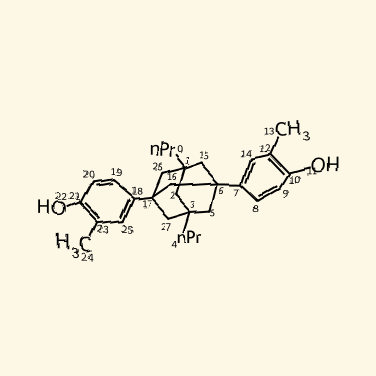 CCCC12CC3(CCC)CC(c4ccc(O)c(C)c4)(C1)CC(c1ccc(O)c(C)c1)(C2)C3